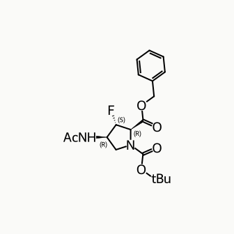 CC(=O)N[C@@H]1CN(C(=O)OC(C)(C)C)[C@H](C(=O)OCc2ccccc2)[C@H]1F